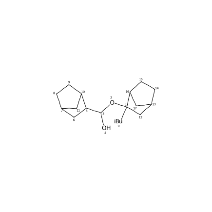 CCC(C)C1(OC(O)C2CC3CCC2C3)CC2CCC1C2